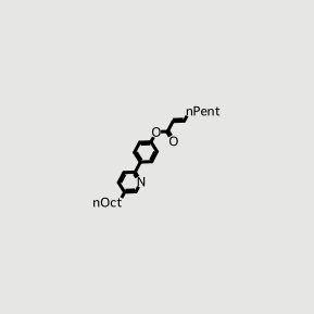 CCCCCC=CC(=O)Oc1ccc(-c2ccc(CCCCCCCC)cn2)cc1